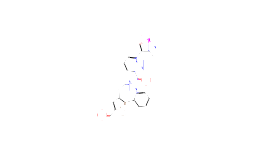 Cc1nocc1-c1cccc(C(=O)N2CCc3cc(C=O)sc3-c3ccccc32)n1